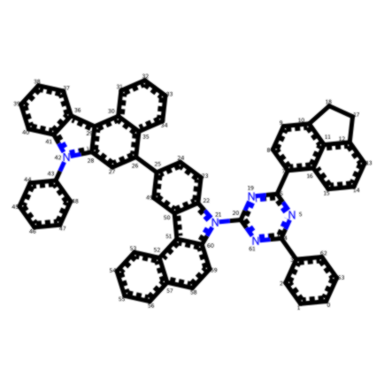 c1ccc(-c2nc(-c3ccc4c5c(cccc35)CC4)nc(-n3c4ccc(-c5cc6c(c7ccccc57)c5ccccc5n6-c5ccccc5)cc4c4c5ccccc5ccc43)n2)cc1